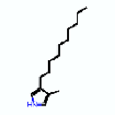 CCCCCCCCCCc1c[nH]cc1C